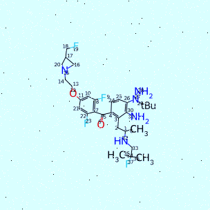 CC(Cc1c(C(=O)c2c(F)cc(OCCN3CC(CF)C3)cc2F)ccc(N(N)C(C)(C)C)c1N)NCC(C)(C)F